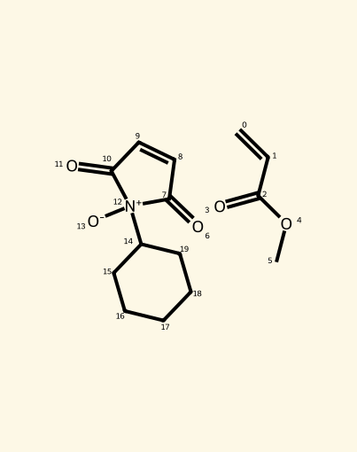 C=CC(=O)OC.O=C1C=CC(=O)[N+]1([O-])C1CCCCC1